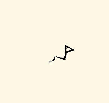 CC(C)O[CH]C1CC1